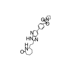 O=C1CCCCC(CCc2nc3cc(-c4ccc(S(=O)(=O)N5CCC5)cc4)cnc3[nH]2)N1